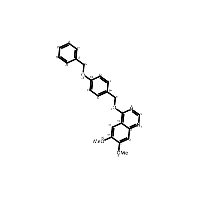 COc1cc2ncnc(OCc3ccc(OCc4ccccc4)cc3)c2cc1OC